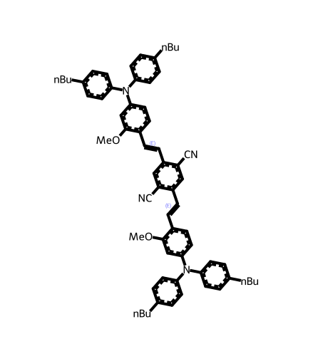 CCCCc1ccc(N(c2ccc(CCCC)cc2)c2ccc(/C=C/c3cc(C#N)c(/C=C/c4ccc(N(c5ccc(CCCC)cc5)c5ccc(CCCC)cc5)cc4OC)cc3C#N)c(OC)c2)cc1